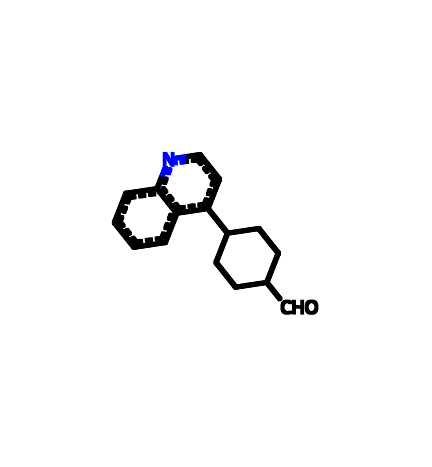 O=CC1CCC(c2ccnc3ccccc23)CC1